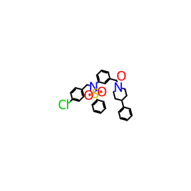 O=C(c1cccc(N(Cc2ccc(Cl)cc2)S(=O)(=O)c2ccccc2)c1)N1CCC(c2ccccc2)CC1